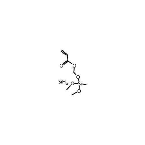 C=CC(=O)OCO[Si](C)(OC)OC.[SiH4]